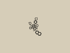 COCC[S+]([O-])c1sc(-c2ccc3ccccc3c2)nc1S(=O)(=O)c1ccc(Cl)cc1